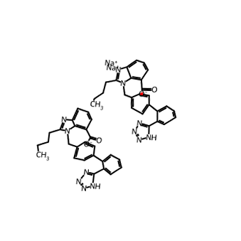 CCCCc1nc2cccc(C(=O)[O-])c2n1Cc1ccc(-c2ccccc2-c2nnn[nH]2)cc1.CCCCc1nc2cccc(C(=O)[O-])c2n1Cc1ccc(-c2ccccc2-c2nnn[nH]2)cc1.[Na+].[Na+]